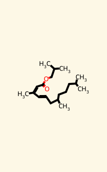 CC(C=CCC(C)CCCC(C)C)=CC(=O)OCC(C)C